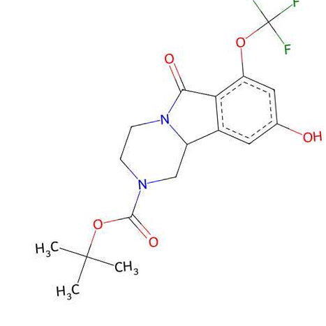 CC(C)(C)OC(=O)N1CCN2C(=O)c3c(OC(F)(F)F)cc(O)cc3C2C1